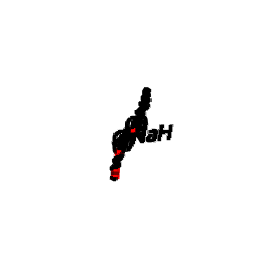 CCCCCCCCCCOS(=O)(=O)c1ccc(S(=O)(=O)OCCCCCCCCCC)cc1.[NaH]